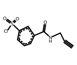 C#CCNC(=O)c1cccc(S(=O)(=O)Cl)c1